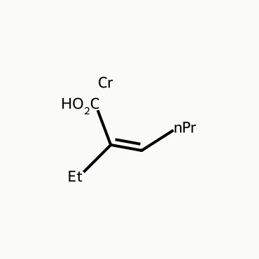 CCCC=C(CC)C(=O)O.[Cr]